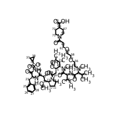 CC[C@H](C)[C@@H]([C@@H](CC(=O)N1CCC[C@H]1[C@H](OC)[C@@H](C)C(=O)N[C@@H](Cc1ccccc1)C(=O)NS(=O)(=O)C1CC1)OC)N(C)C(=O)[C@@H](NC(=O)C(C(C)C)N(C)CCOCCOCCC(=O)N1CCC(C(=O)O)CC1)C(C)C